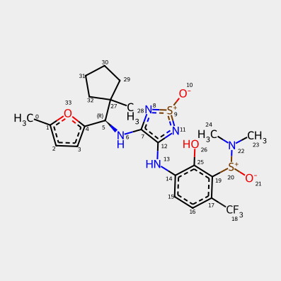 Cc1ccc([C@H](Nc2n[s+]([O-])nc2Nc2ccc(C(F)(F)F)c([S+]([O-])N(C)C)c2O)C2(C)CCCC2)o1